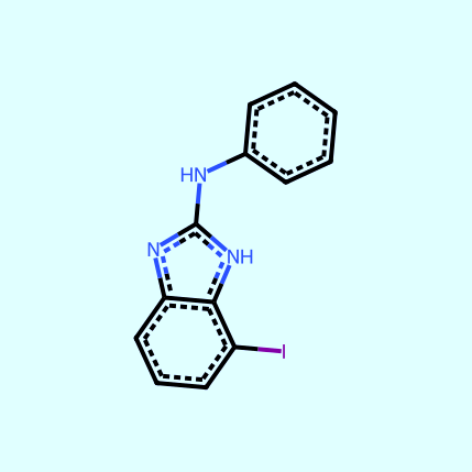 Ic1cccc2nc(Nc3ccccc3)[nH]c12